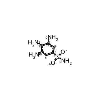 Nc1cc(S(N)(=O)=O)cc(N)c1N